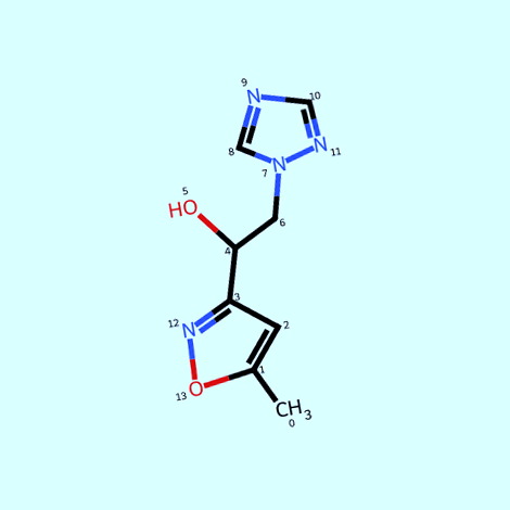 Cc1cc(C(O)Cn2cncn2)no1